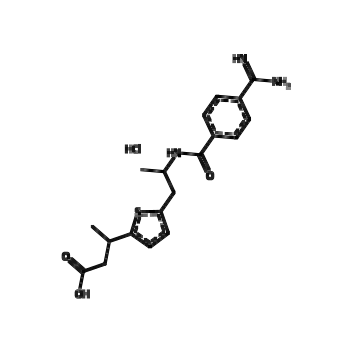 CC(Cc1ccc(C(C)CC(=O)O)s1)NC(=O)c1ccc(C(=N)N)cc1.Cl